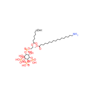 CCCCCCCCCCCCCCCC(=O)O[C@H](COC(=O)CCCCCCCCCCCCCCCCN)COP(=O)(O)OC1C(O)[C@@H](OP(=O)(O)O)C(OP(=O)(O)O)[C@@H](OP(=O)(O)O)[C@H]1O